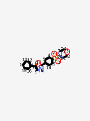 O=S(=O)(c1ccc(-c2ncc(-c3ccccc3)o2)cc1)N1CCOCC1